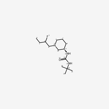 CCC(F)CN1CCC[C@@H](NC(=O)NC(C)(C)C)C1